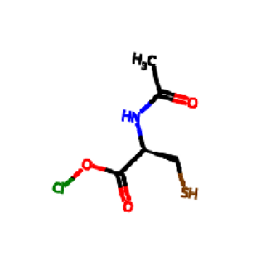 CC(=O)N[C@@H](CS)C(=O)OCl